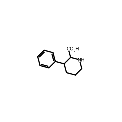 O=C(O)C1NCCCC1c1ccccc1